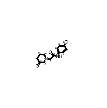 Cc1ccc(NC(=O)CN2CCCC(=O)C2)cc1